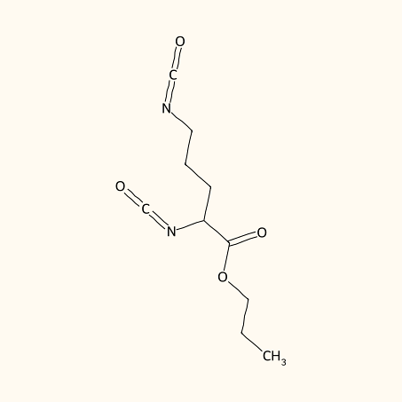 CCCOC(=O)C(CCCN=C=O)N=C=O